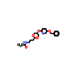 CC(=O)NCCC[C@H]1OC[C@H](OC2=NCC(OCc3ccccc3)C=C2)CO1